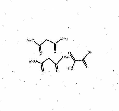 COC(=O)CC(=O)OC.COC(=O)CC(=O)OC.O=C(O)C(=O)O